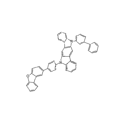 c1ccc(-c2cccc(-n3c4ccccc4c4cc5c(cc43)c3ccccc3n5-c3ccc(-c4ccc5oc6ccccc6c5c4)cc3)c2)cc1